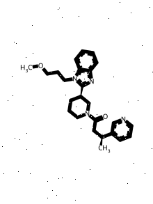 COCCCn1c([C@@H]2CCCN(C(=O)C[C@H](C)c3cccnc3)C2)nc2ccccc21